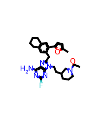 CC(=O)N1CCCC(CCn2c(Cc3cc4c(cc3-c3ccc(C)o3)CCCC4)nc3c(N)nc(F)nc32)C1